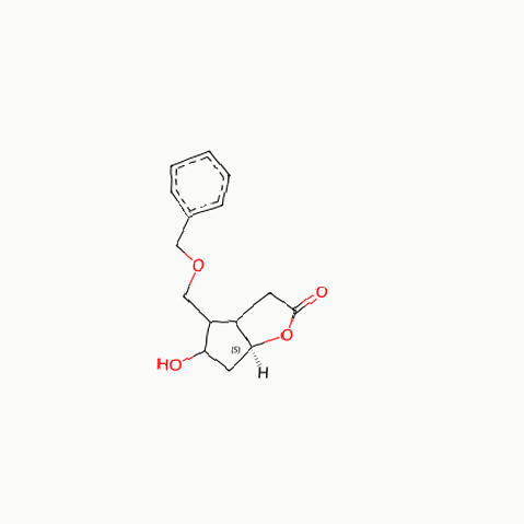 O=C1CC2C(COCc3ccccc3)C(O)C[C@@H]2O1